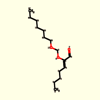 CCCCC=C(C=O)OCOCCCCCCC